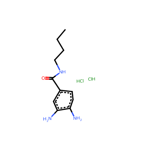 CCCCNC(=O)c1ccc(N)c(N)c1.Cl.Cl